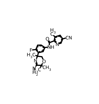 Cc1cc(C#N)cnc1C(=O)Nc1ccc(F)c(C2(C)COC(C)(C(F)(F)F)C(N)=N2)c1